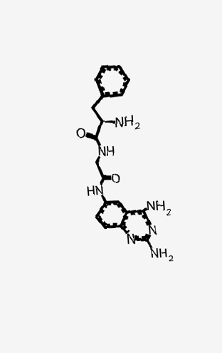 Nc1nc(N)c2cc(NC(=O)CNC(=O)[C@H](N)Cc3ccccc3)ccc2n1